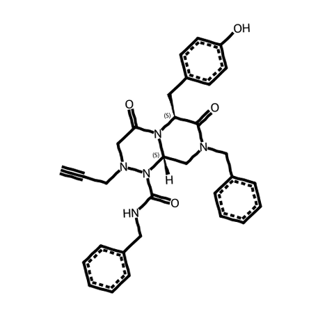 C#CCN1CC(=O)N2[C@@H](Cc3ccc(O)cc3)C(=O)N(Cc3ccccc3)C[C@@H]2N1C(=O)NCc1ccccc1